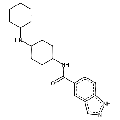 O=C(NC1CCC(NC2CCCCC2)CC1)c1ccc2[nH]ncc2c1